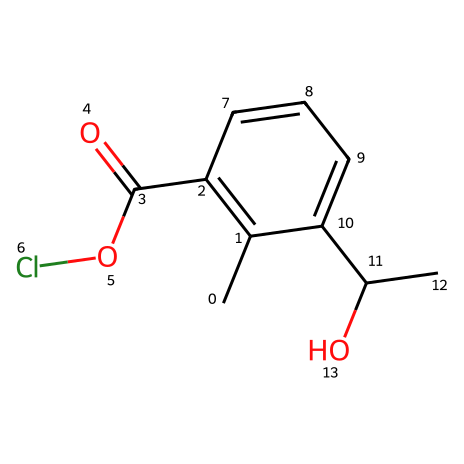 Cc1c(C(=O)OCl)cccc1C(C)O